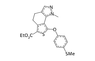 CCOC(=O)c1sc(Oc2ccc(SC)cc2)c2c1CCc1cnn(C)c1-2